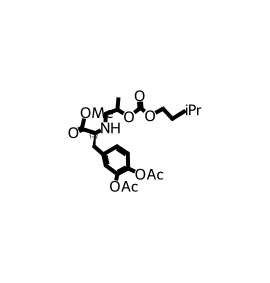 COC(=O)[C@H](Cc1ccc(OC(C)=O)c(OC(C)=O)c1)NCC(C)OC(=O)OCCC(C)C